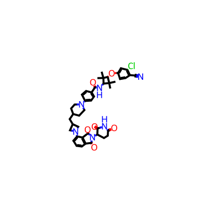 CC1(C)C(NC(=O)c2ccc(N3CCC(CC4CN(c5cccc6c5C(=O)N(C5CCC(=O)NC5=O)C6=O)C4)CC3)cc2)C(C)(C)C1Oc1ccc(C#N)c(Cl)c1